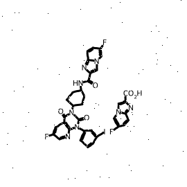 O=C(NC1CCC(n2c(=O)c3cc(F)cnc3n(-c3cccc(I)c3)c2=O)CC1)c1cn2cc(F)ccc2n1.O=C(O)c1cn2cc(F)ccc2n1